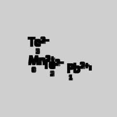 [Mn+2].[Pb+2].[Te-2].[Te-2]